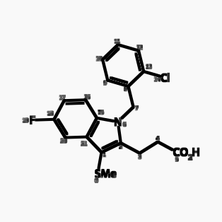 CSc1c(CCC(=O)O)n(Cc2ccccc2Cl)c2ccc(F)cc12